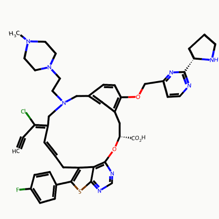 C#C/C(Cl)=C1\C=C/Cc2c(-c3ccc(F)cc3)sc3ncnc(c23)O[C@@H](C(=O)O)Cc2cc(ccc2OCc2ccnc([C@@H]3CCCN3)n2)CN(CCN2CCN(C)CC2)C1